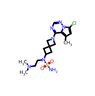 Cc1cc(Cl)n2ncnc(N3CC4(CC(N(CCN(C)C)S(N)(=O)=O)C4)C3)c12